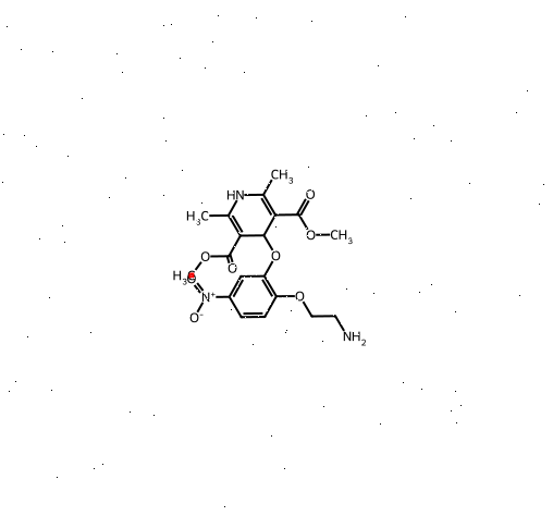 COC(=O)C1=C(C)NC(C)=C(C(=O)OC)C1Oc1cc([N+](=O)[O-])ccc1OCCN